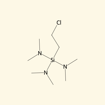 CN(C)[Si](CCCl)(N(C)C)N(C)C